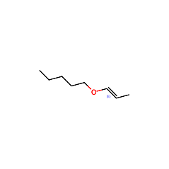 C/C=C/OCCCCC